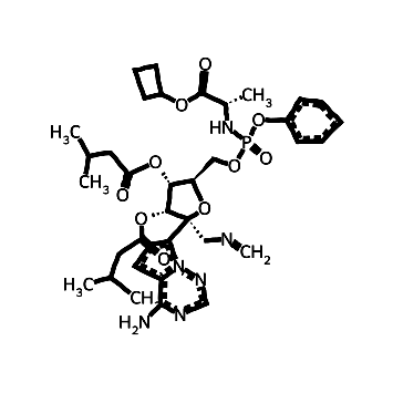 C=NC[C@@]1(c2ccc3c(N)ncnn23)O[C@H](COP(=O)(N[C@@H](C)C(=O)OC2CCC2)Oc2ccccc2)[C@@H](OC(=O)CC(C)C)[C@H]1OC(=O)CC(C)C